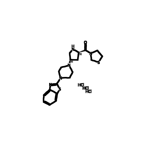 Cl.Cl.Cl.O=C([C@@H]1C[C@H](N2CCN(c3nc4ccccc4s3)CC2)CN1)N1CCSC1